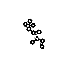 c1ccc(-c2cc(-c3cccc4c3oc3ccccc34)nc(-n3c4ccccc4c4cc(-c5ccc6c(c5)C(c5ccccc5)(c5ccccc5)c5ccccc5-6)ccc43)n2)cc1